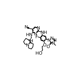 Cn1nnn(-c2cc(Nc3ncc(C#N)c(NC[C@@H]4CCCN5CCCC[C@H]45)n3)c(F)cc2OCCO)c1=O